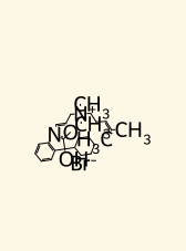 CC(C)=CCC[N+](C)(C)Cc1cnc(C(O)(c2ccccc2)C2CCCCC2)o1.[Br-]